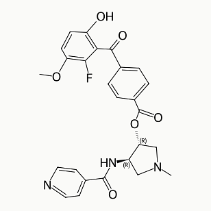 COc1ccc(O)c(C(=O)c2ccc(C(=O)O[C@@H]3CN(C)C[C@H]3NC(=O)c3ccncc3)cc2)c1F